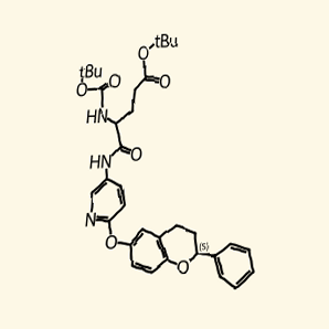 CC(C)(C)OC(=O)CCC(NC(=O)OC(C)(C)C)C(=O)Nc1ccc(Oc2ccc3c(c2)CC[C@@H](c2ccccc2)O3)nc1